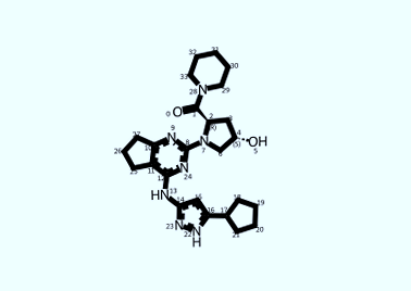 O=C([C@H]1C[C@H](O)CN1c1nc2c(c(Nc3cc(C4CCCC4)[nH]n3)n1)CCC2)N1CCCCC1